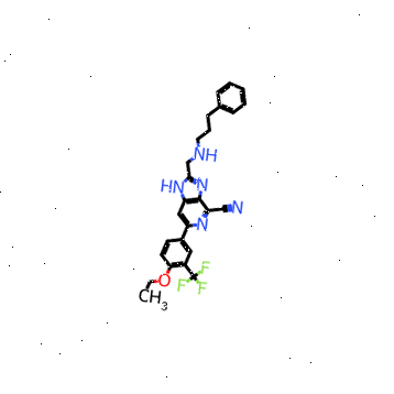 CCOc1ccc(-c2cc3[nH]c(CNCCCc4ccccc4)nc3c(C#N)n2)cc1C(F)(F)F